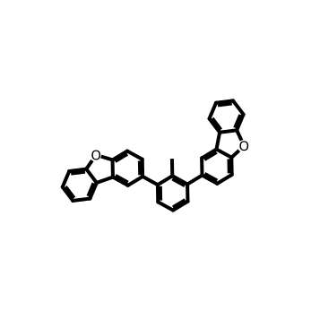 Cc1c(-c2ccc3oc4ccccc4c3c2)cccc1-c1ccc2oc3ccccc3c2c1